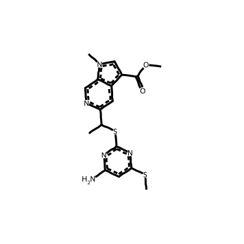 COC(=O)c1cn(C)c2cnc(C(C)Sc3nc(N)cc(SC)n3)cc12